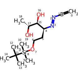 C=BN=N[C@@H](CCO[Si](C)(C)C(C)(C)C)[C@H](O)[C@@H](C)O